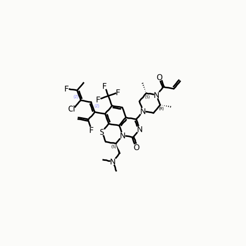 C=CC(=O)N1[C@H](C)CN(c2nc(=O)n3c4c(c(/C(=C/C(Cl)=C(\C)F)C(=C)F)c(C(F)(F)F)cc24)SC[C@@H]3CN(C)C)C[C@@H]1C